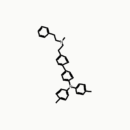 Cc1ccc(N(c2ccc(C)cc2)c2ccc(-c3ccc(CCN(C)CCc4ccccc4)cc3)cc2)cc1